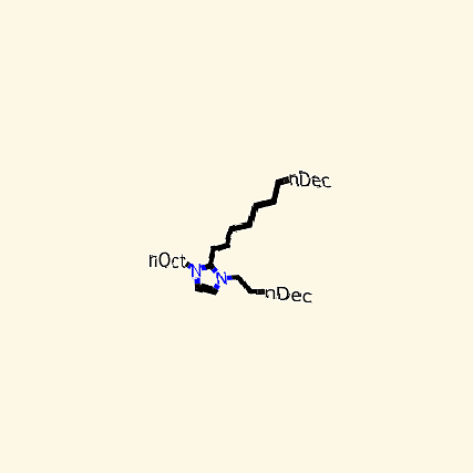 CCCCCCCCCCCCCCCCCC1N(CCCCCCCC)C=CN1CCCCCCCCCCCC